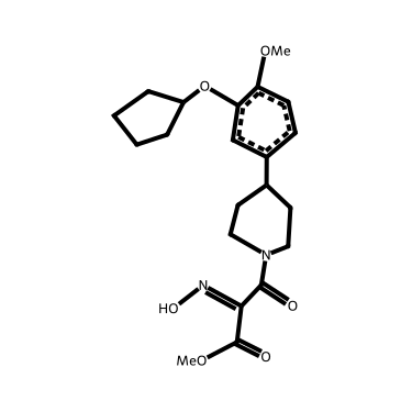 COC(=O)C(=NO)C(=O)N1CCC(c2ccc(OC)c(OC3CCCC3)c2)CC1